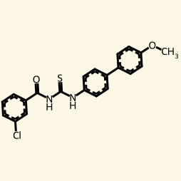 COc1ccc(-c2ccc(NC(=S)NC(=O)c3cccc(Cl)c3)cc2)cc1